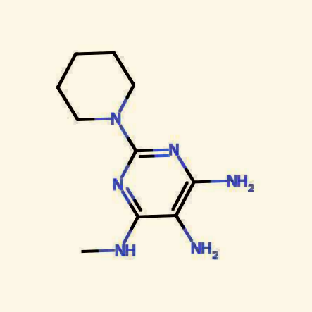 CNc1nc(N2CCCCC2)nc(N)c1N